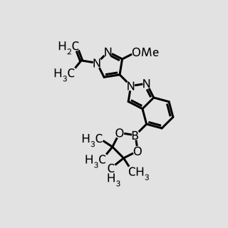 C=C(C)n1cc(-n2cc3c(B4OC(C)(C)C(C)(C)O4)cccc3n2)c(OC)n1